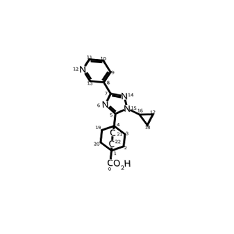 O=C(O)C12CCC(c3nc(-c4c[c]cnc4)nn3C3CC3)(CC1)CC2